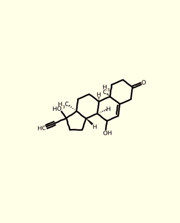 C#CC1(O)CC[C@H]2[C@@H]3C(O)C=C4CC(=O)CC[C@]4(C)[C@@H]3CC[C@@]21C